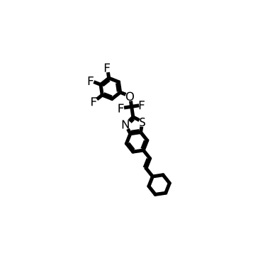 Fc1cc(OC(F)(F)c2nc3ccc(/C=C/C4CCCCC4)cc3s2)cc(F)c1F